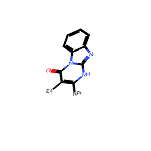 CCCc1[nH]c2nc3ccccc3n2c(=O)c1CC